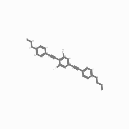 CCCCc1ccc(C#Cc2cc(F)c(C#Cc3ccc(CCC)cc3)c(F)c2)cc1